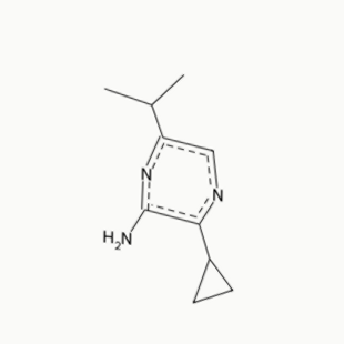 CC(C)c1cnc(C2CC2)c(N)n1